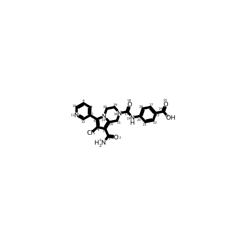 NC(=O)c1c(Cl)c(-c2cccnc2)n2c1CN(C(=O)Nc1ccc(C(=O)O)cc1)CC2